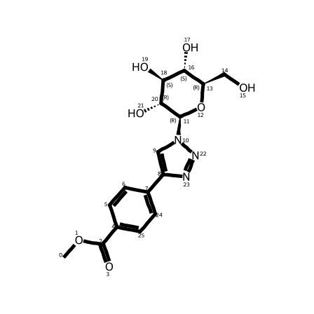 COC(=O)c1ccc(-c2cn([C@@H]3O[C@H](CO)[C@@H](O)[C@H](O)[C@H]3O)nn2)cc1